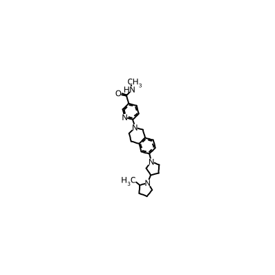 CNC(=O)c1ccc(N2CCc3cc(N4CCC(N5CCCC5C)C4)ccc3C2)nc1